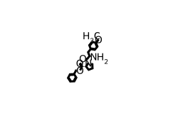 COc1ccc(C[C@H](N)C(=O)N2CCC[C@@H]2C(=O)OCc2ccccc2)cc1